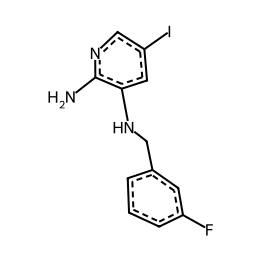 Nc1ncc(I)cc1NCc1cccc(F)c1